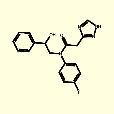 O=C(Cc1nc[nH]n1)N(CC(O)c1ccccc1)c1ccc(F)cc1